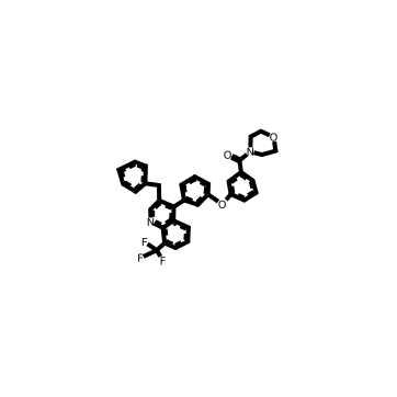 O=C(c1cccc(Oc2cccc(-c3c(Cc4ccccc4)cnc4c(C(F)(F)F)cccc34)c2)c1)N1CCOCC1